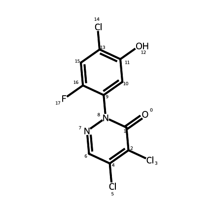 O=c1c(Cl)c(Cl)cnn1-c1cc(O)c(Cl)cc1F